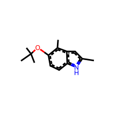 Cc1cc2c(C)c(OC(C)(C)C)ccc2[nH]1